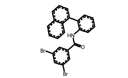 O=C(Nc1ccccc1-c1cccc2ccccc12)c1cc(Br)cc(Br)c1